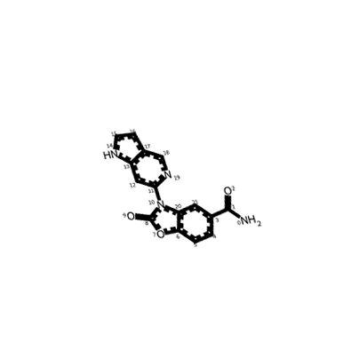 NC(=O)c1ccc2oc(=O)n(-c3cc4[nH]ccc4cn3)c2c1